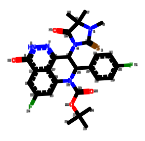 CN1C(=S)N(C2c3n[nH]c(=O)c4cc(F)cc(c34)N(C(=O)OC(C)(C)C)C2c2ccc(F)cc2)C(=O)C1(C)C